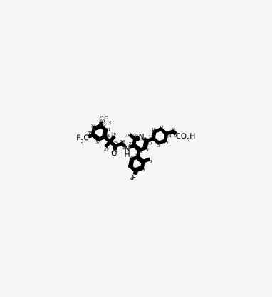 Cc1cc(F)ccc1-c1cc(C2CCC(CC(=O)O)CC2)nc(C)c1NCC(=O)C(C)(C)c1cc(C(F)(F)F)cc(C(F)(F)F)c1